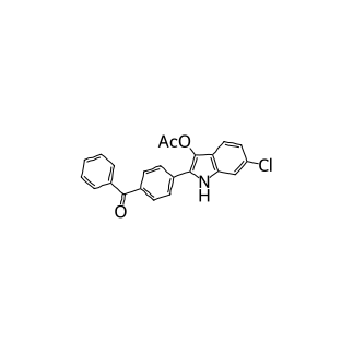 CC(=O)Oc1c(-c2ccc(C(=O)c3ccccc3)cc2)[nH]c2cc(Cl)ccc12